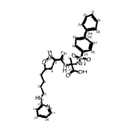 CC(NC(=O)C1CC(CCCCNc2ccccn2)ON1)(NS(=O)(=O)c1ccc(-c2ccccc2)cc1)C(=O)O